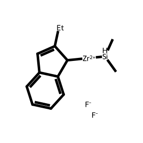 CCC1=Cc2ccccc2[CH]1[Zr+2][SiH](C)C.[F-].[F-]